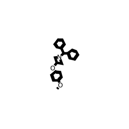 COc1ccc(OC2CN(C(c3ccccc3)c3ccccc3)C2)cc1